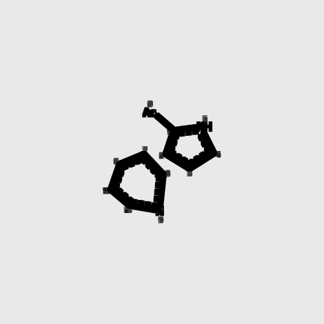 CC(=O)c1ccc[nH]1.c1ccncc1